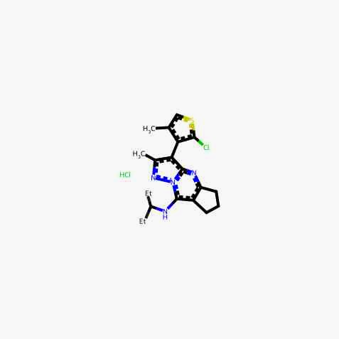 CCC(CC)Nc1c2c(nc3c(-c4c(C)csc4Cl)c(C)nn13)CCC2.Cl